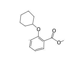 COC(=O)c1ccc[c]c1OC1CCCCC1